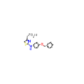 O=C(O)Cc1csc(Nc2ccc(OCc3ccccc3)cc2)n1